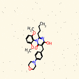 CCCCc1nc(O)c(Cc2ccc(N3CCOCC3)cc2)c(=O)n1-c1c(OC)cccc1OC